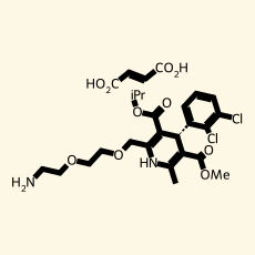 COC(=O)C1=C(C)NC(COCCOCCN)=C(C(=O)OC(C)C)[C@@H]1c1cccc(Cl)c1Cl.O=C(O)/C=C/C(=O)O